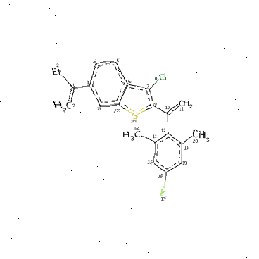 C=C(CC)c1ccc2c(Cl)c(C(=C)c3c(C)cc(F)cc3C)sc2c1